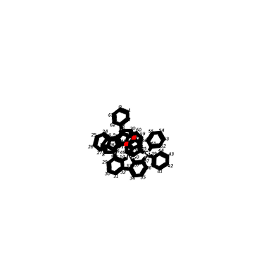 c1ccc(-n2c3ccccc3c3c(-n4c5c(-n6c7ccccc7c7ccccc76)cccc5c5cccc([Si](c6ccccc6)(c6ccccc6)c6ccccc6)c54)cccc32)cc1